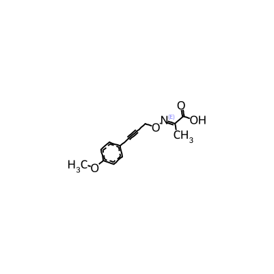 COc1ccc(C#CCO/N=C(\C)C(=O)O)cc1